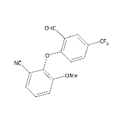 COc1cccc(C#N)c1Oc1ccc(C(F)(F)F)cc1C=O